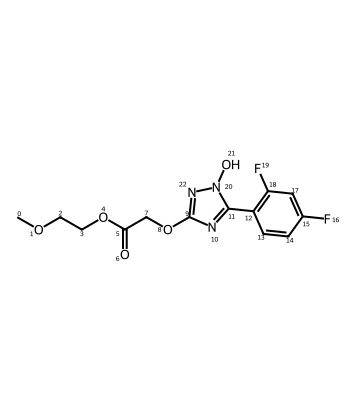 COCCOC(=O)COc1nc(-c2ccc(F)cc2F)n(O)n1